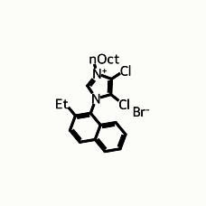 CCCCCCCC[n+]1cn(-c2c(CC)ccc3ccccc23)c(Cl)c1Cl.[Br-]